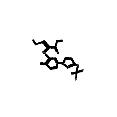 CO/C=C(\Oc1cc(-n2ccc(SC(F)(F)F)n2)ccc1C)C(=O)OC